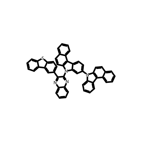 c1ccc2c(c1)ccc1c2c2ccccc2n1-c1ccc2c3c4ccccc4ccc3n(-c3nc4ccccc4nc3-c3ccc4sc5ccccc5c4c3)c2c1